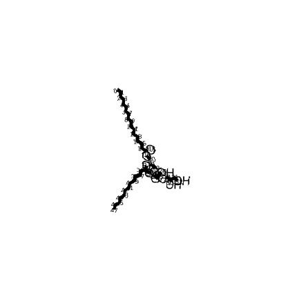 CCCCCCCCCCCCCCCCCC(=O)OC[C@H](COP(=O)(O)OC[C@@H](O)CO)OC(=O)CCCCCCCCCCCC